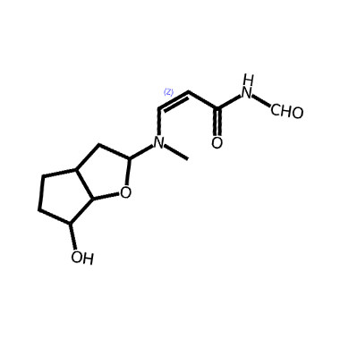 CN(/C=C\C(=O)NC=O)C1CC2CCC(O)C2O1